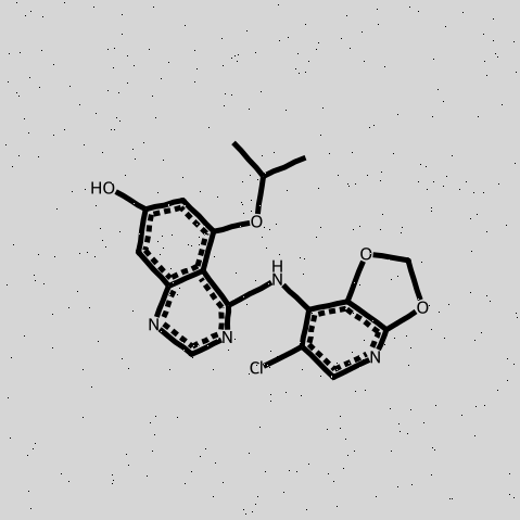 CC(C)Oc1cc(O)cc2ncnc(Nc3c(Cl)cnc4c3OCO4)c12